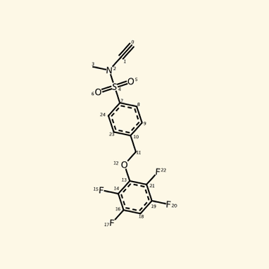 C#CN(C)S(=O)(=O)c1ccc(COc2c(F)c(F)cc(F)c2F)cc1